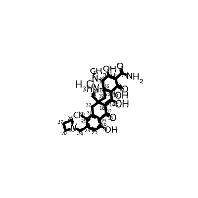 CN(C)[C@@H]1C(O)=C(C(N)=O)C(=O)[C@@]2(O)C(O)=C3C(=O)c4c(O)cc(CN5CCC5)c(Cl)c4CC34CN[C@]12C4